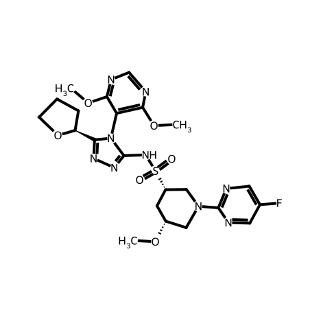 COc1ncnc(OC)c1-n1c(NS(=O)(=O)[C@H]2C[C@@H](OC)CN(c3ncc(F)cn3)C2)nnc1[C@@H]1CCCO1